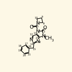 Cn1c(=O)n(C(=O)N2CCC2)c2cnc(Cc3ccccc3)nc21